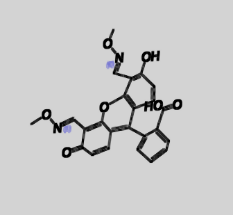 CO/N=C/c1c2oc3c(/C=N/OC)c(O)ccc3c(-c3ccccc3C(=O)O)c-2ccc1=O